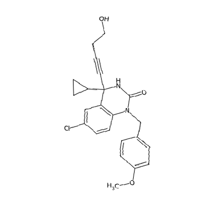 COc1ccc(CN2C(=O)NC(C#CCCO)(C3CC3)c3cc(Cl)ccc32)cc1